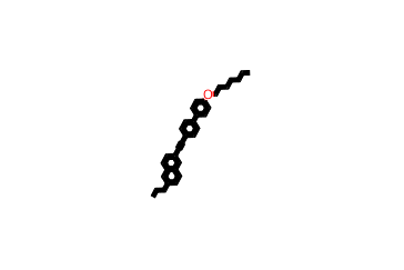 CCCCCCCOc1ccc(-c2ccc(C#Cc3ccc4cc(CCC)ccc4c3)cc2)cc1